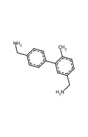 Cc1ccc(CN)cc1-c1ccc(CN)cc1